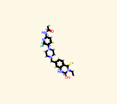 CCN1C(=S)c2ccc(CN3CCN(c4ccc(NC(C)=O)nc4F)CC3)cc2NC1O